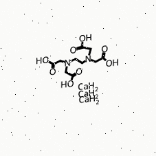 O=C(O)CN(CCN(CC(=O)O)CC(=O)O)CC(=O)O.[CaH2].[CaH2].[CaH2]